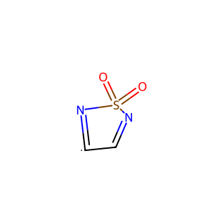 O=S1(=O)N=[C]C=N1